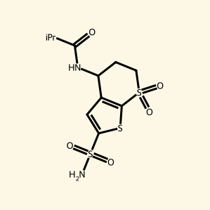 CC(C)C(=O)NC1CCS(=O)(=O)c2sc(S(N)(=O)=O)cc21